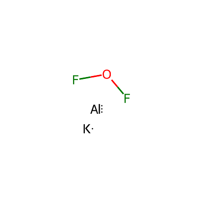 FOF.[Al].[K]